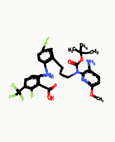 COc1ccc(N)c(N(CCCc2cc(F)ccc2Nc2ccc(C(F)(F)F)c(F)c2C(=O)O)C(=O)OC(C)(C)C)n1